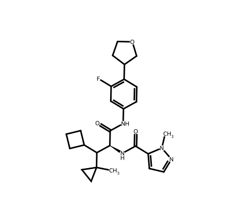 Cn1nccc1C(=O)N[C@H](C(=O)Nc1ccc(C2CCOC2)c(F)c1)C(C1CCC1)C1(C)CC1